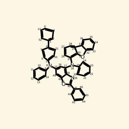 c1ccc(-c2ccc(N(c3ccccc3)c3cc(N(c4ccccc4)c4cccc5c4oc4ccccc45)c4nc(-c5ccccc5)oc4c3)cc2)cc1